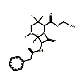 CC1(Br)C[S+]([O-])[C@H]2C(NC(=O)Cc3ccccc3)C(=O)N2C1C(=O)OCC(Cl)(Cl)Cl